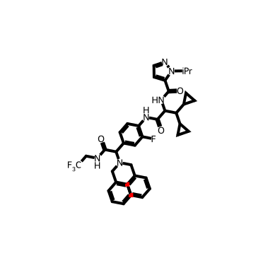 CC(C)n1nccc1C(=O)NC(C(=O)Nc1ccc(C(C(=O)NCC(F)(F)F)N(Cc2ccccc2)Cc2ccccc2)cc1F)C(C1CC1)C1CC1